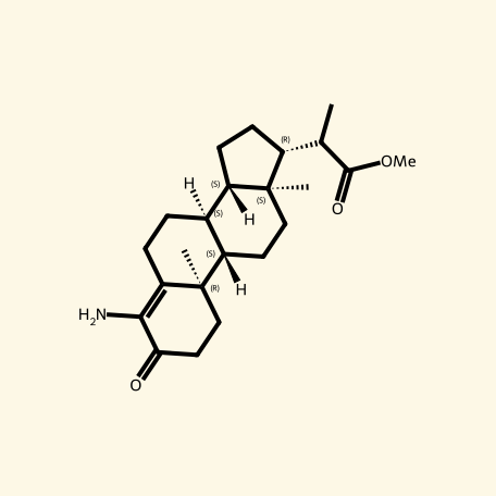 COC(=O)C(C)[C@H]1CC[C@H]2[C@@H]3CCC4=C(N)C(=O)CC[C@]4(C)[C@H]3CC[C@]12C